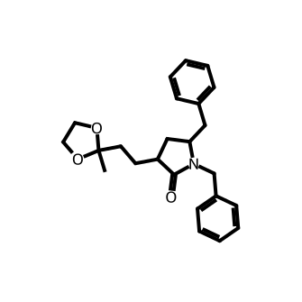 CC1(CCC2CC(Cc3ccccc3)N(Cc3ccccc3)C2=O)OCCO1